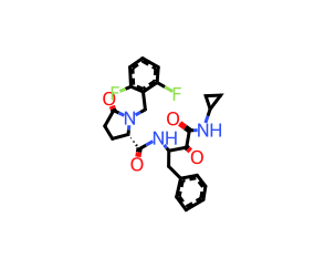 O=C(NC1CC1)C(=O)C(Cc1ccccc1)NC(=O)[C@@H]1CCC(=O)N1Cc1c(F)cccc1F